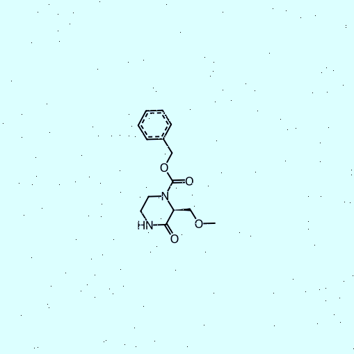 COC[C@H]1C(=O)NCCN1C(=O)OCc1ccccc1